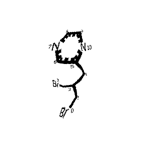 BrCC(Br)Cc1cnccn1